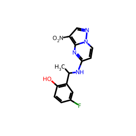 CC(Nc1ccn2ncc([N+](=O)[O-])c2n1)c1cc(F)ccc1O